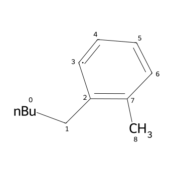 CCCCCc1[c]cccc1C